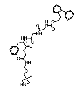 O=C(CNC(=O)OCC1c2ccccc2-c2ccccc21)NCC(=O)N[C@@H](Cc1ccccc1)C(=O)NCC(=O)NCOCC1(F)CNC1